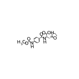 COC(=O)Nc1ccc(C(=O)NC(C[C@@H]2CCCO2)C(=O)O)cc1